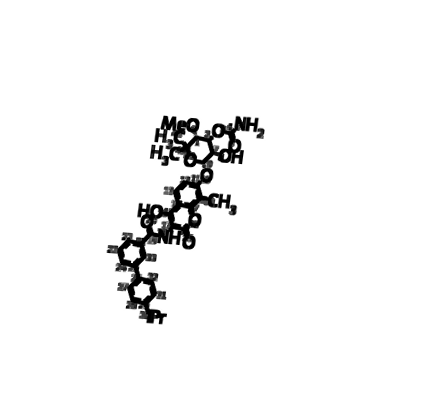 CO[C@@H]1[C@@H](OC(N)=O)[C@@H](O)[C@H](Oc2ccc3c(O)c(NC(=O)c4cccc(-c5ccc(C(C)C)cc5)c4)c(=O)oc3c2C)OC1(C)C